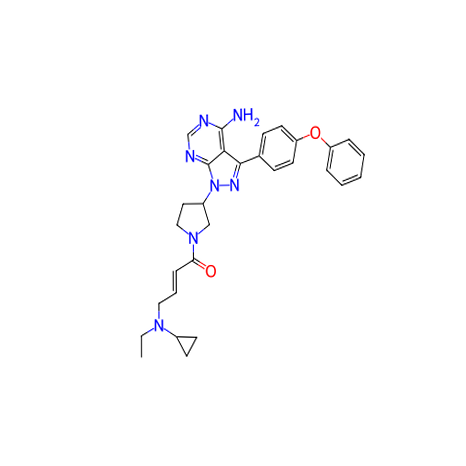 CCN(CC=CC(=O)N1CCC(n2nc(-c3ccc(Oc4ccccc4)cc3)c3c(N)ncnc32)C1)C1CC1